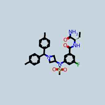 CC[C@H](NC(=O)c1cc(F)cc(N(C2CN(C(c3ccc(C)cc3)c3ccc(C)cc3)C2)S(C)(=O)=O)c1)C(N)=O